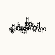 CC(C)(C)CC(=O)Nc1cncc(-c2ccc3[nH]nc(-c4cc5c(-c6cc(F)cc(CNS(C)(=O)=O)c6)ccnc5[nH]4)c3n2)c1